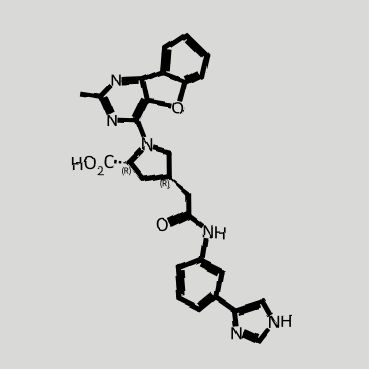 Cc1nc(N2C[C@@H](CC(=O)Nc3cccc(-c4c[nH]cn4)c3)C[C@@H]2C(=O)O)c2oc3ccccc3c2n1